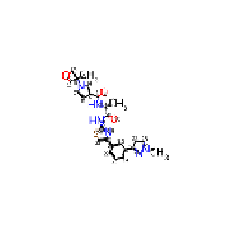 C[C@H](NC(=O)c1ccn(C2(C)COC2)c1)C(=O)Nc1nc(-c2cccc(-c3ccn(C)n3)c2)cs1